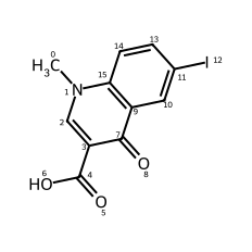 Cn1cc(C(=O)O)c(=O)c2cc(I)ccc21